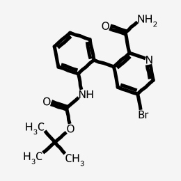 CC(C)(C)OC(=O)Nc1ccccc1-c1cc(Br)cnc1C(N)=O